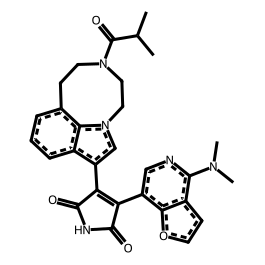 CC(C)C(=O)N1CCc2cccc3c(C4=C(c5cnc(N(C)C)c6ccoc56)C(=O)NC4=O)cn(c23)CC1